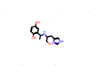 CC(NC(CO)Cc1c[nH]cn1)c1cc(O)ccc1O